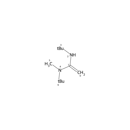 C=C(NC(C)(C)C)N(C)C(C)(C)C